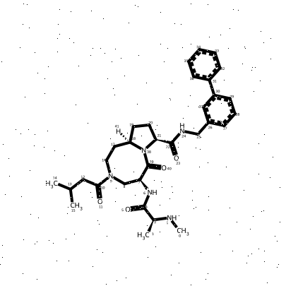 CN[C@@H](C)C(=O)N[C@H]1CN(C(=O)CC(C)C)CC[C@H]2CC[C@@H](C(=O)NCc3cccc(-c4ccccc4)c3)N2C1=O